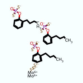 CCCCc1ccccc1OP([O-])(=S)[S-].CCCCc1ccccc1OP([O-])(=S)[S-].CCCCc1ccccc1OP([O-])(=S)[S-].[Mo+6].[Mo+6].[S-2].[S-2].[S-2]